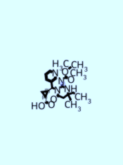 CCC1(CC)CC(=O)N(C(c2cccnc2)[C@@H]2C[C@H]2C(=O)O)/C(=N/C(=O)OC(C)(C)C)N1